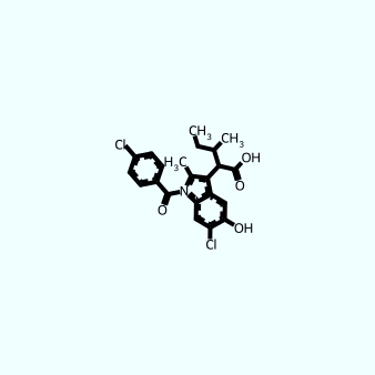 CCC(C)C(C(=O)O)c1c(C)n(C(=O)c2ccc(Cl)cc2)c2cc(Cl)c(O)cc12